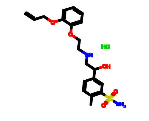 C=CCOc1ccccc1OCCNCC(O)c1ccc(C)c(S(N)(=O)=O)c1.Cl